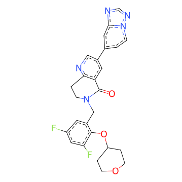 O=C1c2cc(-c3ccn4ncnc4c3)cnc2CCN1Cc1cc(F)cc(F)c1OC1CCOCC1